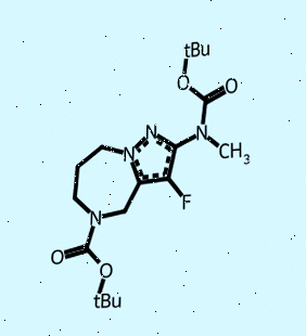 CN(C(=O)OC(C)(C)C)c1nn2c(c1F)CN(C(=O)OC(C)(C)C)CCC2